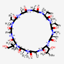 CCCC[C@@H](C)[C@@H](O)[C@@H]1NC(=O)[C@H](C(C)C)N(C)C(=O)[C@H](CC(C)C)N(C)C(=O)[C@H](CC(C)C)N(C)C(=O)[C@@H](C)NC(=O)[C@H](C)NC(=O)[C@H](CC(C)C)N(C)C(=O)[C@H](C(C)C)NC(=O)[C@H](C(C)(C)CO)N(C)C(=O)[C@@H](C)N(C)C(=O)[C@H](CC)NC1=O